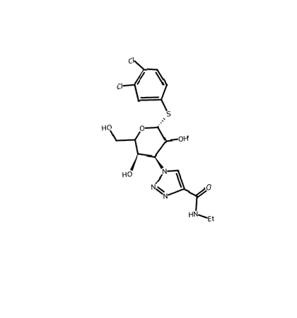 CCNC(=O)c1cn([C@@H]2C(O)[C@@H](Sc3ccc(Cl)c(Cl)c3)OC(CO)[C@@H]2O)nn1